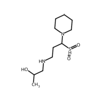 CC(O)CNCCC(N1CC[CH]CC1)[SH](=O)=O